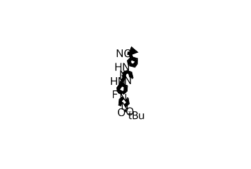 CC(C)(C)OC(=O)N1CCN(c2ccc(Nc3nccc(Nc4cccc(C5(C#N)CC5)c4)n3)cc2F)CC1